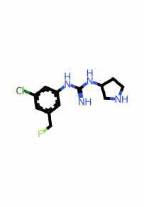 N=C(Nc1cc(Cl)cc(CF)c1)NC1CCNC1